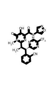 C[C@@H](c1nc(C(=O)Nc2cnoc2)c(O)c(=O)n1C)[C@H](c1cnc(C(F)(F)F)cn1)c1ccccc1C#N